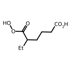 CCC(CCCC(=O)O)C(=O)OO